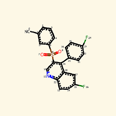 N#Cc1cccc(S(=O)(=O)c2cnc3ccc(F)cc3c2-c2ccc(F)cc2)c1